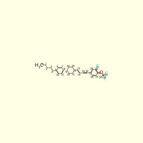 CCCCCc1ccc([C@H]2CC[C@H](/C=C/C#Cc3ccc(OC(F)(F)F)c(F)c3)CC2)cc1